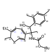 CC/C1=C/C=C(C(C)(NC(=O)OC(C)(C)C)C(O)c2ccc(C)cc2C)\C=C\CC1C